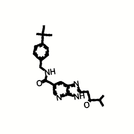 CC(C)C(=O)Cc1nc2cc(C(=O)NCc3ccc(C(C)(C)C)cc3)cnc2[nH]1